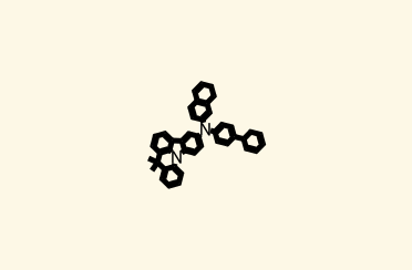 CC1(C)c2ccccc2-n2c3ccc(N(c4ccc(C5C=CC=CC5)cc4)c4ccc5c(c4)CCC=C5)cc3c3cccc1c32